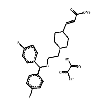 COC(=O)C=CC1CCN(CCOC(c2ccc(F)cc2)c2ccc(F)cc2)CC1.O=C(O)C(=O)O